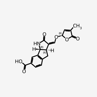 CC1=C[C@H](OC=C2C(=O)N[C@H]3c4cc(C(=O)O)ccc4C[C@H]23)OC1=O